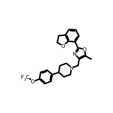 Cc1oc(-c2cccc3c2OCC3)nc1CN1CCC(c2ccc(OC(F)(F)F)cc2)CC1